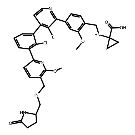 COc1cc(-c2nccc(-c3cccc(-c4ccc(CNCC5CCC(=O)N5)c(OC)n4)c3Cl)c2Cl)ccc1CNC1(C(=O)O)CC1